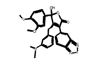 COc1ccc(C2(O)OC(=O)C(c3ccc4nsnc4c3)=C2Cc2cccc(N(C)C)c2)cc1OC